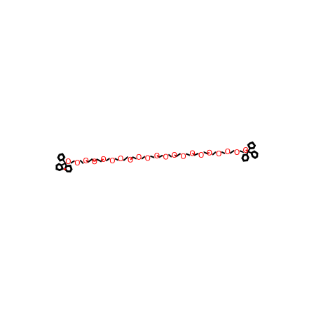 c1ccc(C(OCCOCCOCCOCCOCCOCCOCCOCCOCCOCCOCCOCCOCCOCCOCCOCCOCCOCCOCCOCCOC(c2ccccc2)(c2ccccc2)c2ccccc2)(c2ccccc2)c2ccccc2)cc1